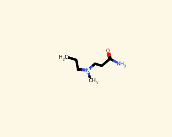 CCCN(C)CCC(N)=O